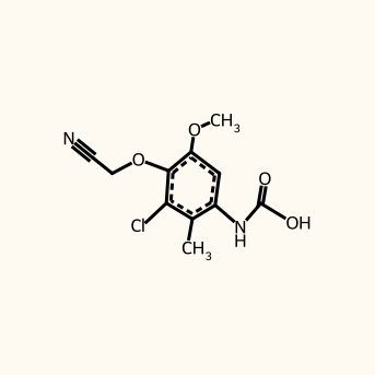 COc1cc(NC(=O)O)c(C)c(Cl)c1OCC#N